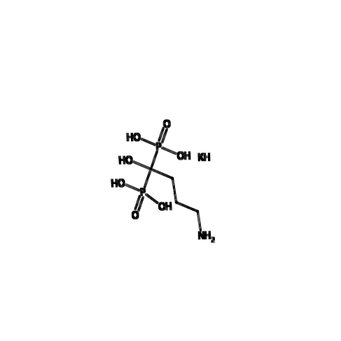 NCCCC(O)(P(=O)(O)O)P(=O)(O)O.[KH]